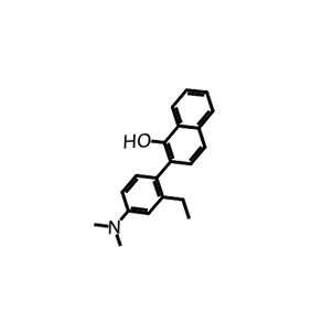 CCc1cc(N(C)C)ccc1-c1ccc2ccccc2c1O